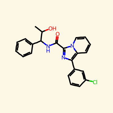 CC(O)C(NC(=O)c1nc(-c2cccc(Cl)c2)c2ccccn12)c1ccccc1